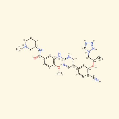 COc1ccc(C(=O)NC2CCCN(C)C2)cc1Nc1ncc(-c2ccc(C#N)c(OC(C)Cn3cnnn3)c2)cn1